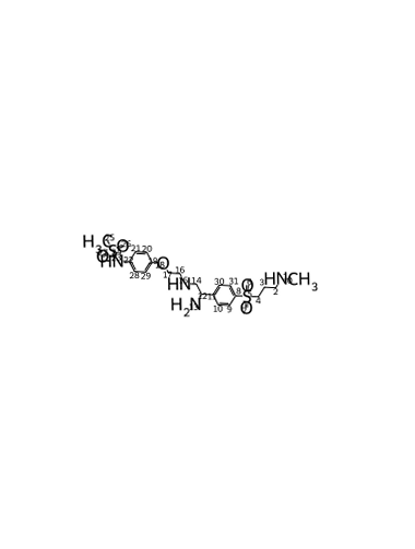 CNCCCS(=O)(=O)c1ccc(C(N)CNCCOc2ccc(NS(C)(=O)=O)cc2)cc1